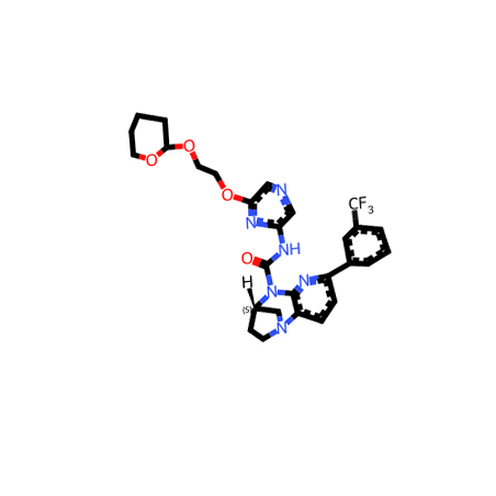 O=C(Nc1cncc(OCCOC2CCCCO2)n1)N1c2nc(-c3cccc(C(F)(F)F)c3)ccc2N2CC[C@H]1C2